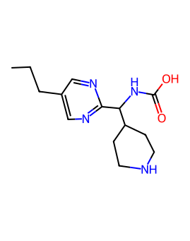 CCCc1cnc(C(NC(=O)O)C2CCNCC2)nc1